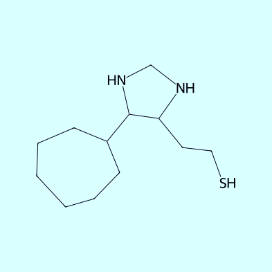 SCCC1NCNC1C1CCCCCC1